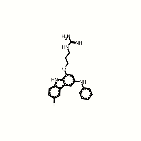 N=C(N)NCCCOc1cc(Nc2ccccc2)cc2c1[nH]c1ccc(I)cc12